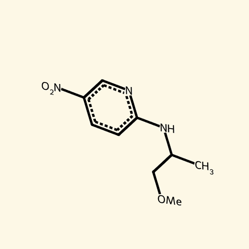 COCC(C)Nc1ccc([N+](=O)[O-])cn1